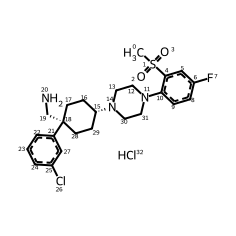 CS(=O)(=O)c1cc(F)ccc1N1CCN([C@H]2CC[C@](CN)(c3cccc(Cl)c3)CC2)CC1.Cl